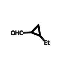 [CH2]CC1CC1C=O